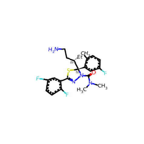 CC[C@@H](CCN)[C@@]1(c2cc(F)ccc2C)SC(c2cc(F)ccc2F)=NN1C(=O)N(C)C